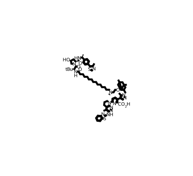 Cc1ncsc1-c1ccc([C@H](C)NC(=O)[C@@H]2C[C@@H](O)CN2C(=O)[C@@H](NC(=O)CCCCCCCCCCCCCCN(C)CCOC23CC4(C)CC(C)(CC(Cn5ncc(-c6ccc(N7CCCc8c7nnc(Nc7nc9ccccc9s7)c8C)nc6C(=O)O)c5C)(C4)C2)C3)C(C)(C)C)cc1